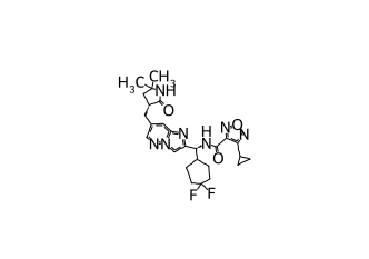 CC1(C)C[C@H](Cc2cnn3cc([C@@H](NC(=O)c4nonc4C4CC4)C4CCC(F)(F)CC4)nc3c2)C(=O)N1